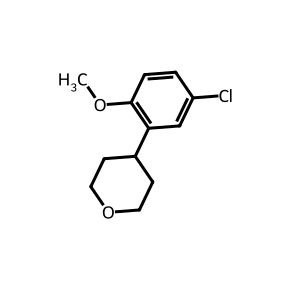 COc1ccc(Cl)cc1C1CCOCC1